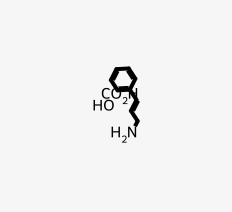 NCC=Cc1ccccc1.O=C(O)O